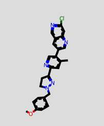 COc1ccc(CN2CCC(c3cc(C)c(-c4cnc5cc(Cl)ncc5c4)cn3)=N2)cc1